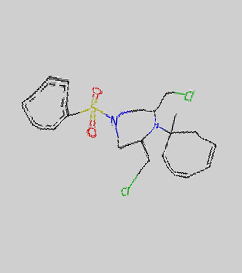 CC1(N2C(CCl)CN(S(=O)(=O)c3ccccc3)CC2CCl)C=CC=CC1